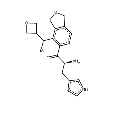 CCC(c1c(C(=O)[C@@H](N)Cc2c[nH]cn2)ccc2c1COC2)C1COC1